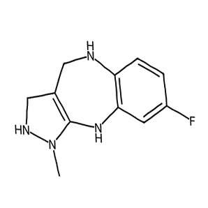 CN1NCC2=C1Nc1cc(F)ccc1NC2